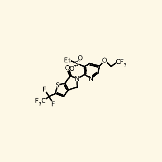 CCS(=O)(=O)c1cc(OCC(F)(F)F)cnc1N1Cc2cc(C(F)(F)C(F)(F)F)sc2C1=O